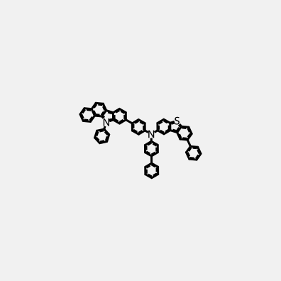 c1ccc(-c2ccc(N(c3ccc(-c4ccc5c6ccc7ccccc7c6n(-c6ccccc6)c5c4)cc3)c3ccc4sc5ccc(-c6ccccc6)cc5c4c3)cc2)cc1